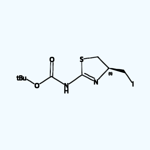 CC(C)(C)OC(=O)NC1=N[C@H](CI)CS1